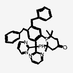 CC1(C)CC(=O)CC(C)(C)P1c1cc(Cc2ccccc2)c(Cc2ccccc2)cc1C(P)(c1ncccn1)c1ncccn1